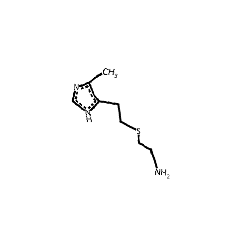 Cc1nc[nH]c1CCSCCN